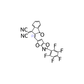 N#CC(C#N)=C1/C(=C/c2cc3oc(-c4c(F)c(F)c(F)c(F)c4F)nc3o2)C(=O)c2ccccc21